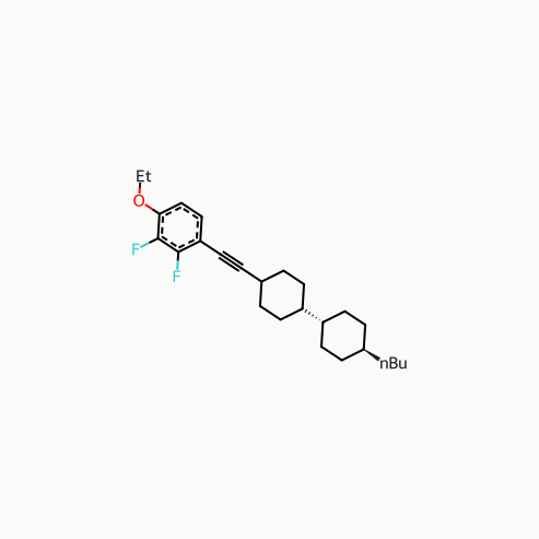 CCCC[C@H]1CC[C@H](C2CCC(C#Cc3ccc(OCC)c(F)c3F)CC2)CC1